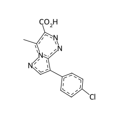 Cc1c(C(=O)O)nnc2c(-c3ccc(Cl)cc3)cnn12